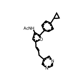 CC(=O)Nc1cc(/C=C/Cc2cncnc2)oc1-c1ccc(C2CC2)cc1